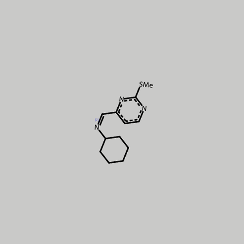 CSc1nccc(/C=N\C2CCCCC2)n1